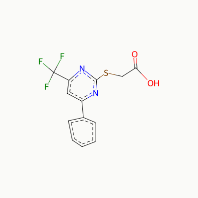 O=C(O)CSc1nc(-c2ccccc2)cc(C(F)(F)F)n1